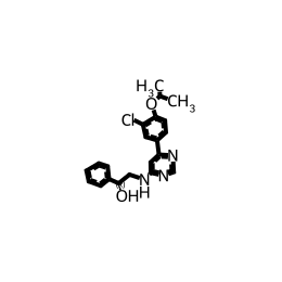 CC(C)Oc1ccc(-c2cc(NC[C@H](O)c3ccccc3)ncn2)cc1Cl